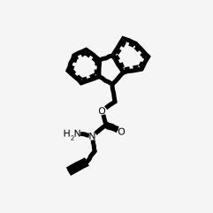 C#CCN(N)C(=O)OCC1c2ccccc2-c2ccccc21